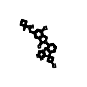 Cn1cnnc1[C@]1(c2cccc(N3Cc4c(Cl)cc(CNC5(C)CCC5)cc4C3=O)c2)C[C@@H](Cl)C1